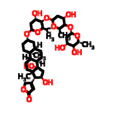 C[C@H]1O[C@@H](O[C@H]2[C@@H](O)C[C@H](O[C@H]3CC[C@@]4(C)[C@H](CC[C@@H]5[C@@H]4CC[C@]4(C)[C@@H](C6=CC(=O)OC6)[C@@H](O)C[C@]54O)C3)O[C@@H]2C)C[C@H](O)C1O[C@H]1C[C@@H](O)[C@H](O)[C@@H](C)O1